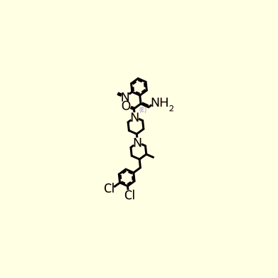 C=Nc1ccccc1/C(=C\N)C(=O)N1CCC(N2CCC(Cc3ccc(Cl)c(Cl)c3)C(C)C2)CC1